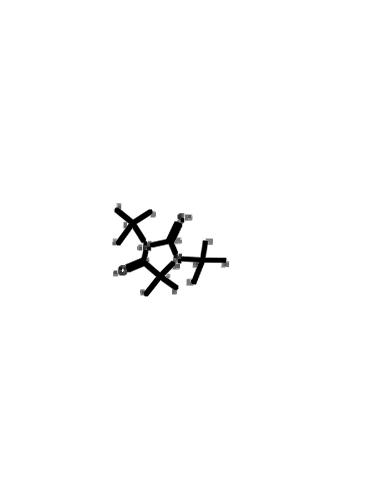 CC(C)(C)N1C(=O)C(C)(C)N(C(C)(C)C)C1=S